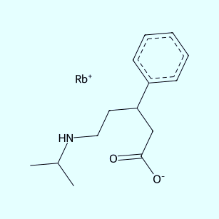 CC(C)NCCC(CC(=O)[O-])c1ccccc1.[Rb+]